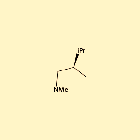 CNC[C@H](C)C(C)C